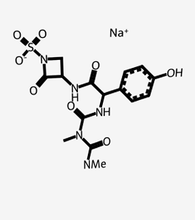 CNC(=O)N(C)C(=O)NC(C(=O)NC1CN(S(=O)(=O)[O-])C1=O)c1ccc(O)cc1.[Na+]